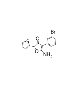 NC1=C(c2cccc(Br)c2)C(=O)C(c2cccs2)O1